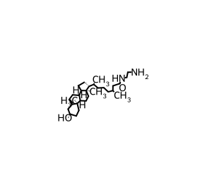 CC(CCC[C@@H](C)[C@H]1CC[C@H]2[C@@H]3CC=C4C[C@@H](O)CC[C@]4(C)[C@H]3CC[C@]12C)CC(=O)NCCN